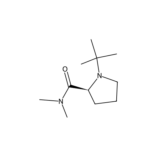 CN(C)C(=O)[C@@H]1CCCN1C(C)(C)C